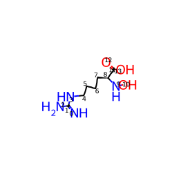 N=C(N)NCCCC[C@H](NO)C(=O)O